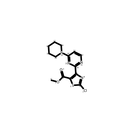 COC(=O)c1sc(Cl)nc1-c1nccc(N2CCCCC2)n1